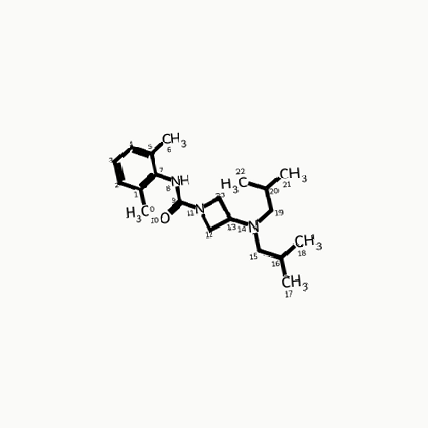 Cc1cccc(C)c1NC(=O)N1CC(N(CC(C)C)CC(C)C)C1